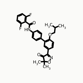 CC(C)COc1ccc(C2=NOC(C)(C)C2=O)cc1-c1ccc(NC(=O)c2c(F)cccc2F)cc1